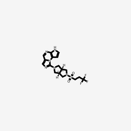 O=S(=O)(CCC(F)(F)F)N1C[C@H]2CN(c3ncc4cnc5[nH]ccc5n34)C[C@H]2C1